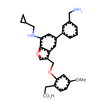 COc1ccc(CC(=O)O)c(OCc2coc3c(NCC4CC4)cc(-c4cccc(CN)c4)cc23)c1